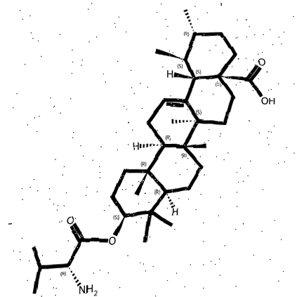 CC(C)[C@@H](N)C(=O)O[C@H]1CC[C@]2(C)[C@H]3CC=C4[C@@H]5[C@@H](C)[C@H](C)CC[C@]5(C(=O)O)CC[C@@]4(C)[C@]3(C)CC[C@H]2C1(C)C